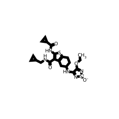 CCOc1n[s+]([O-])nc1NC1CCc2sc(NC(=O)C3CC3)c(C(=O)NCC3CC3)c2C1